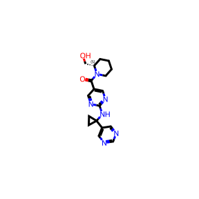 O=C(c1cnc(NC2(c3cncnc3)CC2)nc1)N1CCCC[C@H]1CO